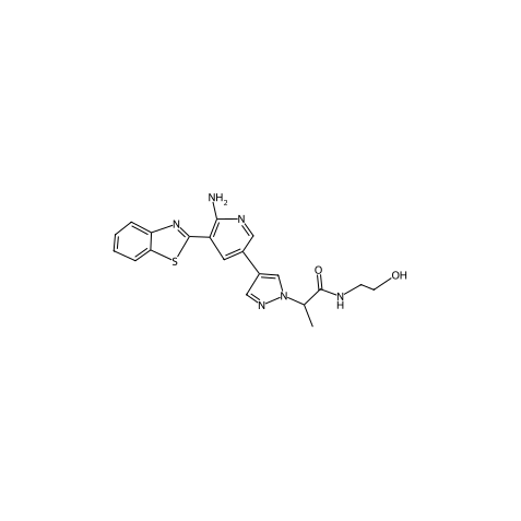 CC(C(=O)NCCO)n1cc(-c2cnc(N)c(-c3nc4ccccc4s3)c2)cn1